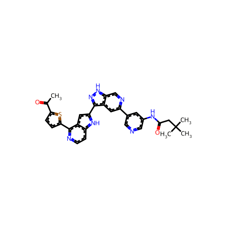 CC(=O)c1ccc(-c2nccc3[nH]c(-c4n[nH]c5cnc(-c6cncc(NC(=O)CC(C)(C)C)c6)cc45)cc23)s1